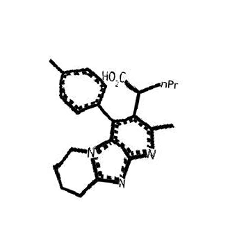 CCCC(C(=O)O)c1c(C)nc2nc3n(c2c1-c1ccc(C)cc1)CCCC3